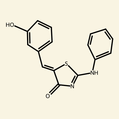 O=C1N=C(Nc2ccccc2)SC1=Cc1cccc(O)c1